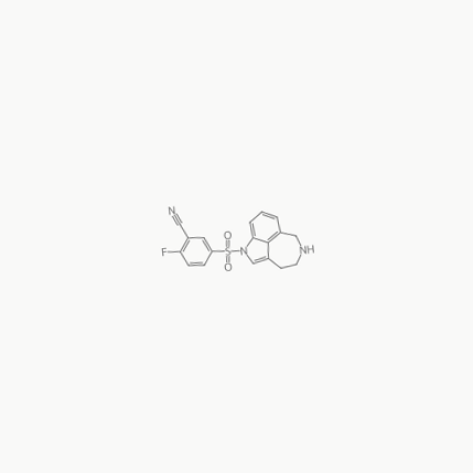 N#Cc1cc(S(=O)(=O)n2cc3c4c(cccc42)CNCC3)ccc1F